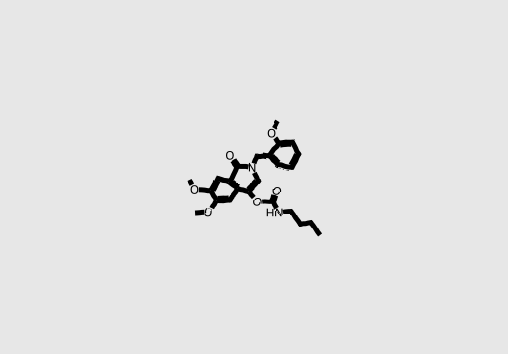 CCCCNC(=O)Oc1cn(Cc2ccccc2OC)c(=O)c2cc(OC)c(OC)cc12